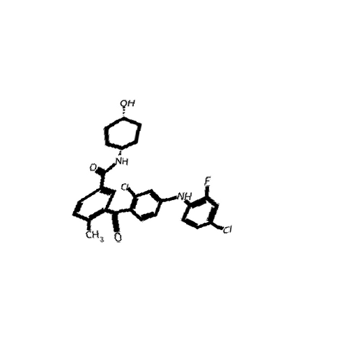 Cc1ccc(C(=O)N[C@H]2CC[C@@H](O)CC2)cc1C(=O)c1ccc(Nc2ccc(Cl)cc2F)cc1Cl